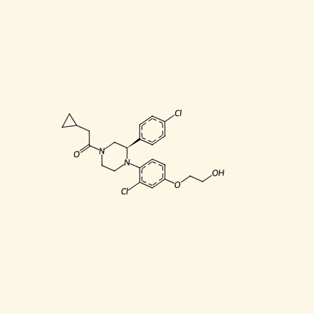 O=C(CC1CC1)N1CCN(c2ccc(OCCO)cc2Cl)[C@H](c2ccc(Cl)cc2)C1